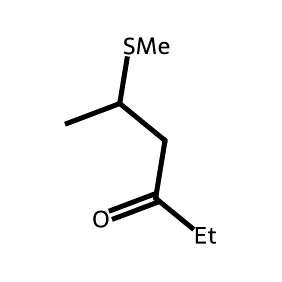 CCC(=O)CC(C)SC